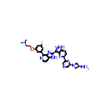 CN(C)CCOc1cc(F)cc(-c2nccc3[nH]c(-c4n[nH]c5ccc(-c6cncc(N7CC(N)C7)n6)nc45)nc23)c1